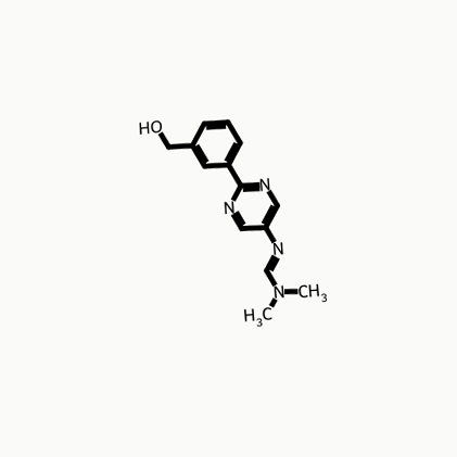 CN(C)/C=N/c1cnc(-c2cccc(CO)c2)nc1